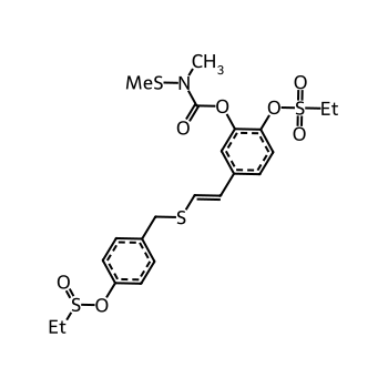 CCS(=O)Oc1ccc(CS/C=C/c2ccc(OS(=O)(=O)CC)c(OC(=O)N(C)SC)c2)cc1